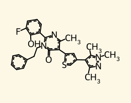 Cc1nn(C)c(C)c1-c1csc(-c2c(C)nc(-c3cccc(F)c3O)n(CCc3ccccc3)c2=O)c1